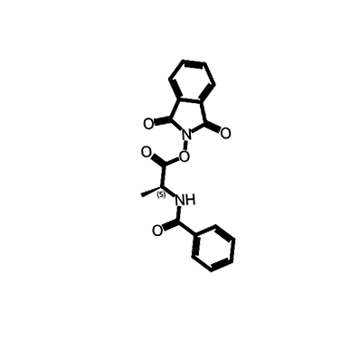 C[C@H](NC(=O)c1ccccc1)C(=O)ON1C(=O)c2ccccc2C1=O